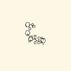 CCOC1=C(OC2CCCN(c3cncc(NC(=O)C(C)(C)C4=CCCC=C4)n3)C2)C=CCC1